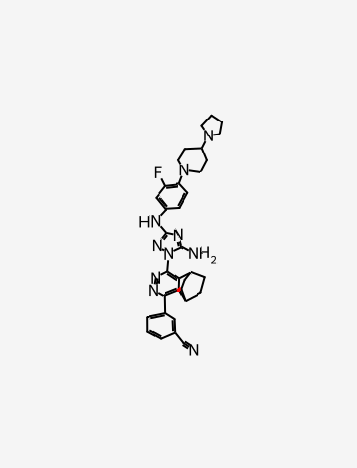 N#Cc1cccc(-c2nnc(-n3nc(Nc4ccc(N5CCC(N6CCCC6)CC5)c(F)c4)nc3N)c3c2C2CCC3CC2)c1